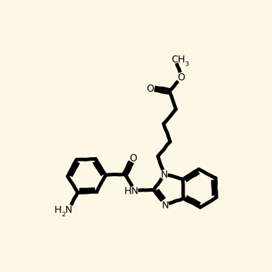 COC(=O)CCCCn1c(NC(=O)c2cccc(N)c2)nc2ccccc21